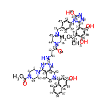 CC(=O)N1CCN(c2nc(NCCC(=O)N3CCN(Cc4ccc(-n5c(O)nnc5-c5cc(C(C)C)c(O)cc5O)cc4)CC3)nc3c2CCN(c2cc(O)cc4ccccc24)C3)CC1